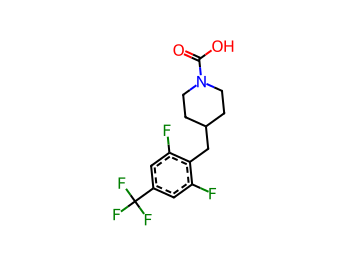 O=C(O)N1CCC(Cc2c(F)cc(C(F)(F)F)cc2F)CC1